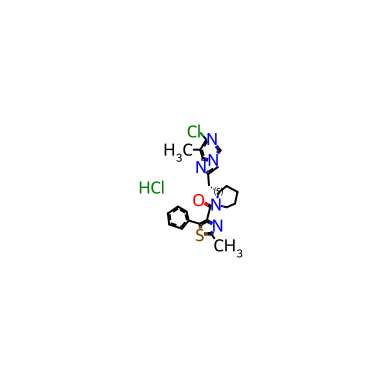 Cc1nc(C(=O)N2CCCC[C@H]2Cc2cn3cnc(Cl)c(C)c3n2)c(-c2ccccc2)s1.Cl